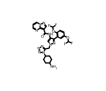 NC1CCC(n2nnnc2Cn2cc(NC(=O)c3cnn4cccnc34)c(-c3cc(OC(F)F)ccc3OC(F)F)n2)CC1